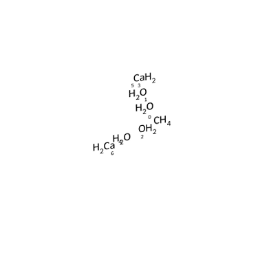 C.O.O.O.O.[CaH2].[CaH2]